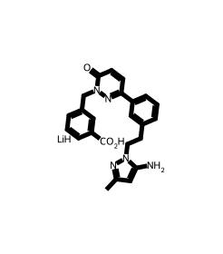 Cc1cc(N)n(CCc2cccc(-c3ccc(=O)n(Cc4cccc(C(=O)O)c4)n3)c2)n1.[LiH]